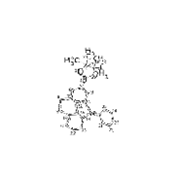 CC1(C)OB(c2cc3ccc4cccc5c4c3c(c2)n5-c2ccccc2)OC1(C)C